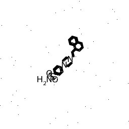 NS(=O)(=O)c1ccc(N2CCN(CCC3CCCc4ccccc43)CC2)cc1